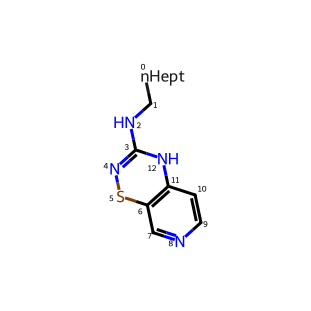 CCCCCCCCNC1=NSc2cnccc2N1